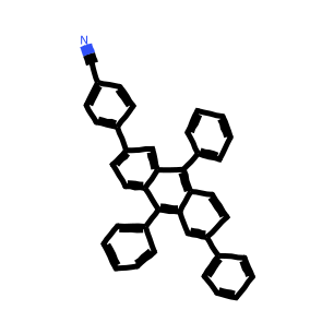 N#Cc1ccc(-c2ccc3c(-c4ccccc4)c4cc(-c5ccccc5)ccc4c(-c4ccccc4)c3c2)cc1